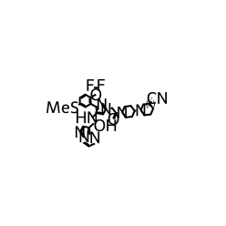 CSc1ccc(OC(F)F)c(-c2nn(CC(=O)N3CCC(N4CCC[C@@H](C#N)C4)CC3)cc2NC(O)c2cnn3cccnc23)c1